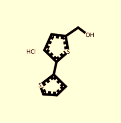 Cl.OCc1ccc(-c2cccs2)s1